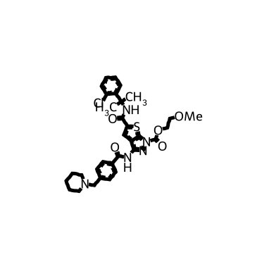 COCCOC(=O)n1nc(NC(=O)c2ccc(CN3CCCCC3)cc2)c2cc(C(=O)NC(C)(C)c3ccccc3Cl)sc21